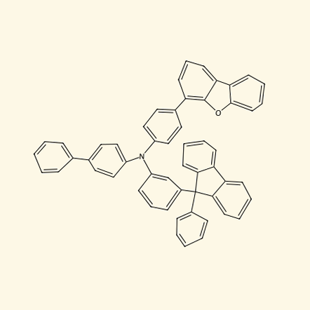 c1ccc(-c2ccc(N(c3ccc(-c4cccc5c4oc4ccccc45)cc3)c3cccc(C4(c5ccccc5)c5ccccc5-c5ccccc54)c3)cc2)cc1